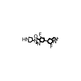 Cn1cc2cc(-c3cc(F)c4c(=O)n(C5CCNCC5)cnc4c3)cc(F)c2n1